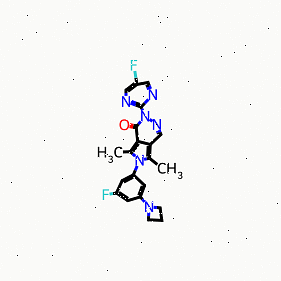 Cc1c2cnn(-c3ncc(F)cn3)c(=O)c2c(C)n1-c1cc(F)cc(N2CCC2)c1